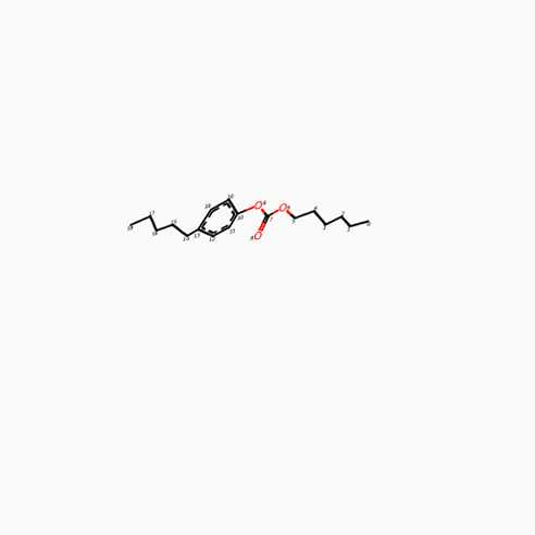 CCCCCCOC(=O)Oc1ccc(CCCCC)cc1